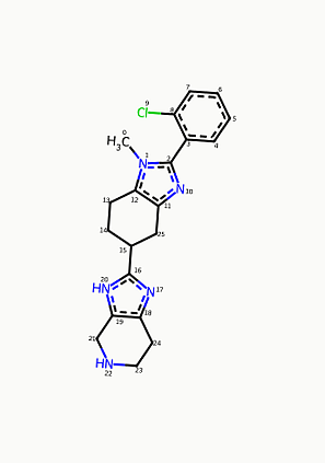 Cn1c(-c2ccccc2Cl)nc2c1CCC(c1nc3c([nH]1)CNCC3)C2